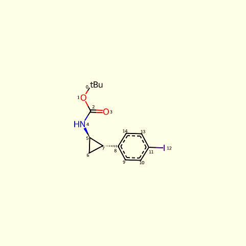 CC(C)(C)OC(=O)N[C@@H]1C[C@H]1c1ccc(I)cc1